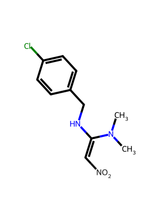 CN(C)C(=C[N+](=O)[O-])NCc1ccc(Cl)cc1